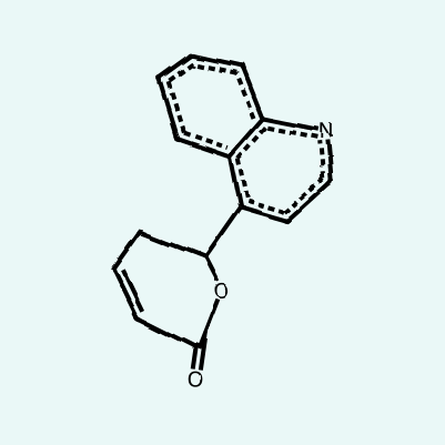 O=C1C=CCC(c2ccnc3ccccc23)O1